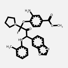 COC(=O)c1ccc(OC(F)(C(=O)C(Nc2ccccc2C)c2ccc3ncoc3c2)N2CCCC2)c(N)c1